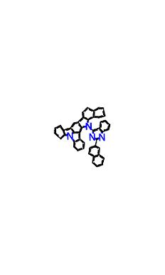 c1ccc2cc(-c3nc(-n4c5c6ccccc6ccc5c5cc6c7ccccc7n7c8ccccc8c(c54)c67)c4ccccc4n3)ccc2c1